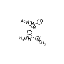 CC(=O)N1CCn2c(C3CCOCC3)nc(-c3ccc4c(c3)c(-c3cnn(C)c3)nn4C)c2C1